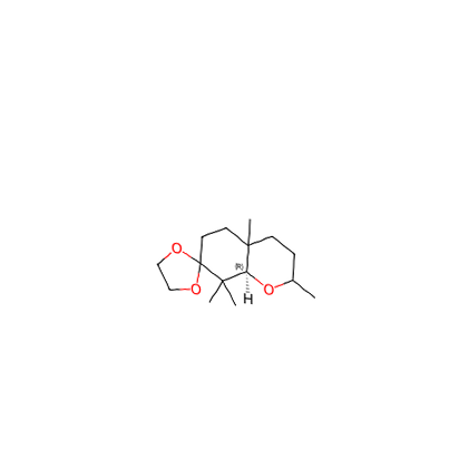 CC1CCC2(C)CCC3(OCCO3)C(C)(C)[C@@H]2O1